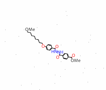 COCCCCCCCCOc1ccc(C(=O)NNC(=O)c2ccc(C(=O)OC)cc2)cc1